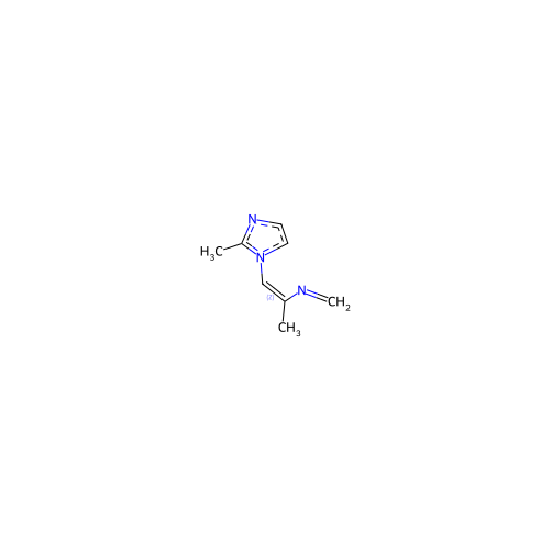 C=N/C(C)=C\n1ccnc1C